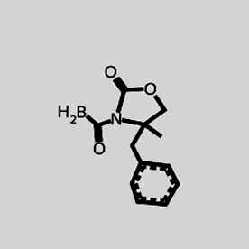 BC(=O)N1C(=O)OCC1(C)Cc1ccccc1